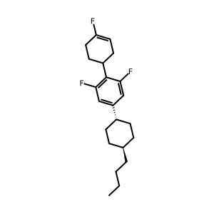 CCCC[C@H]1CC[C@H](c2cc(F)c(C3CC=C(F)CC3)c(F)c2)CC1